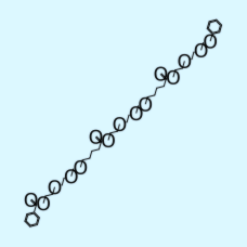 O=C(CCCCOCOCCOCCOC(=O)c1ccccc1)OCCOCCOCOCCCCC(=O)OCCOCCOCOc1ccccc1